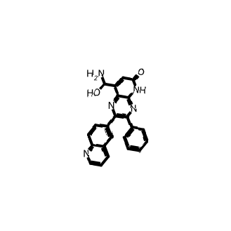 NC(O)c1cc(=O)[nH]c2nc(-c3ccccc3)c(-c3ccc4ncccc4c3)nc12